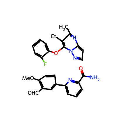 CCc1c(C)nc2ccnn2c1Oc1ccccc1F.COc1ccc(-c2cccc(C(N)=O)n2)cc1C=O